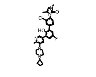 Cc1ncc(-c2cc(F)cc(-c3ccc(-n4c(C)cn(C)c4=O)c(Cl)c3)c2O)cc1N1CCN(C2CCC2)CC1